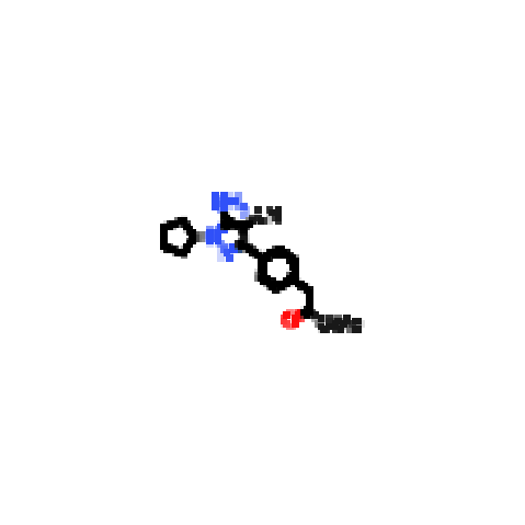 COC(=O)Cc1ccc(-c2nn(C3CCCC3)c(N)c2C#N)cc1